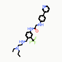 CCCN(CC)CCNCc1ccc(NC(=O)CNc2ccc(-c3cccnc3)cc2)cc1C(F)(F)F